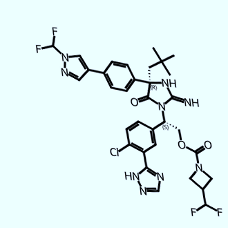 CC(C)(C)C[C@]1(c2ccc(-c3cnn(C(F)F)c3)cc2)NC(=N)N([C@H](COC(=O)N2CC(C(F)F)C2)c2ccc(Cl)c(-c3ncn[nH]3)c2)C1=O